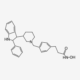 O=C(CCc1ccc(CN2CCCC(C3c4ccccc4NC3c3ccccc3)C2)cc1)NO